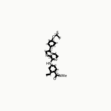 C=Cc1cc(Nc2nccn3c(-c4ccc(OC(F)F)cc4)cnc23)ccc1C(=O)NC